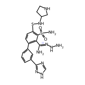 NN/N=C(\N)c1c(-c2cccc(-c3nc[nH]n3)c2)ccc(SNC2CCNC2)c1S(N)(=O)=O